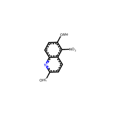 COc1ccc2nc(C=O)ccc2c1[N+](=O)[O-]